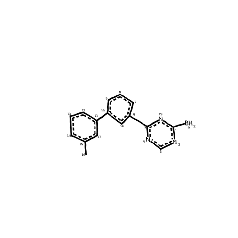 Bc1ncnc(-c2cccc(-c3cccc(C)c3)c2)n1